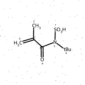 C=C(C)C(=O)N(C(C)(C)C)S(=O)(=O)O